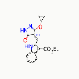 CCOC(=O)c1c(/C=C2\C(=O)NN=C2OC2CC2)[nH]c2ccccc12